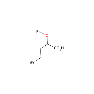 CCOC(CCC(C)C)C(=O)O